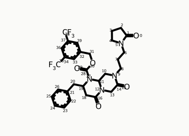 O=C1CCCN1CCCN1CC2N(CC1=O)C(=O)CC(Cc1ccccc1)N2C(=O)OCc1cc(C(F)(F)F)cc(C(F)(F)F)c1